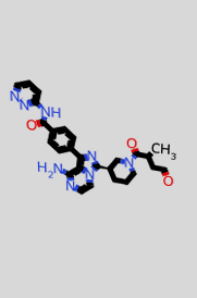 CC(CC=O)C(=O)N1CCC[C@@H](c2nc(-c3ccc(C(=O)Nc4cccnn4)cc3)c3c(N)nccn23)C1